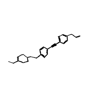 CCCc1ccc(C#Cc2ccc(CCC3CCC(CC)CC3)cc2)cc1